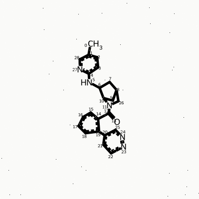 Cc1ccc(NC2CC3CC2N(C(=O)c2ccccc2-c2ccnnc2)C3)nc1